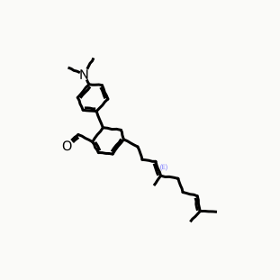 CC(C)=CCC/C(C)=C/CCC1=CC=C(C=O)C(c2ccc(N(C)C)cc2)C1